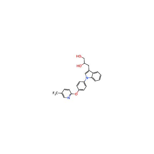 OCC(O)Cc1cn(-c2ccc(Oc3ccc(C(F)(F)F)cn3)cc2)c2ccccc12